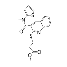 COC(=O)CCSc1nc2ccccc2cc1C(=O)N(C)c1cccs1